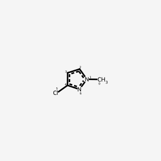 Cn1[c]cc(Cl)n1